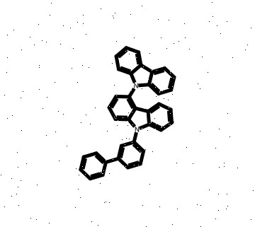 c1ccc(-c2cccc(-n3c4ccccc4c4c(-n5c6ccccc6c6ccccc65)cccc43)c2)cc1